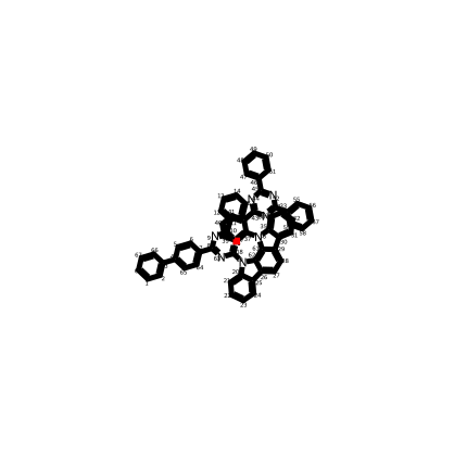 c1ccc(-c2ccc(-c3nc(-c4ccccc4)nc(-n4c5ccccc5c5ccc6c7ccccc7n(-c7ccccc7-c7nc(-c8ccccc8)nc(-c8ccccc8)n7)c6c54)n3)cc2)cc1